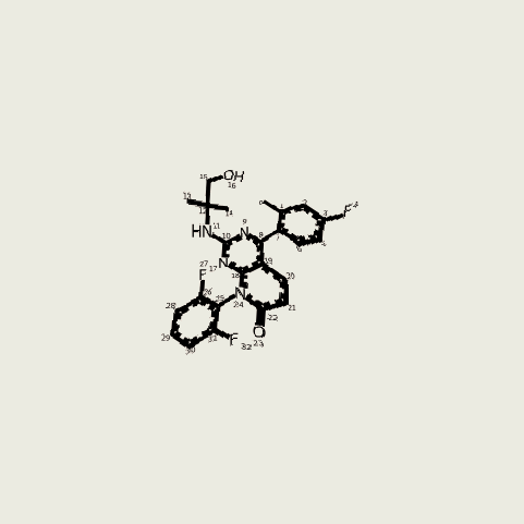 Cc1cc(F)ccc1-c1nc(NC(C)(C)CO)nc2c1ccc(=O)n2-c1c(F)cccc1F